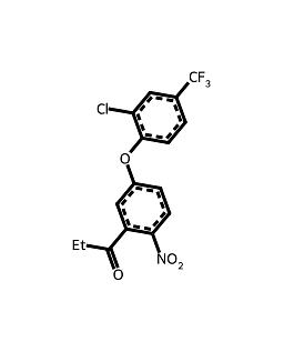 CCC(=O)c1cc(Oc2ccc(C(F)(F)F)cc2Cl)ccc1[N+](=O)[O-]